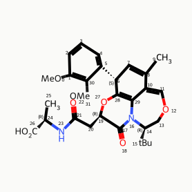 COc1cccc([C@@H]2C=C(C)C3=COC[C@@H](C(C)(C)C)N4C(=O)[C@@H](CC(=O)N[C@H](C)C(=O)O)OC2=C34)c1OC